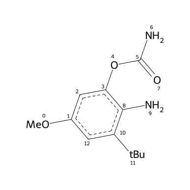 COc1cc(OC(N)=O)c(N)c(C(C)(C)C)c1